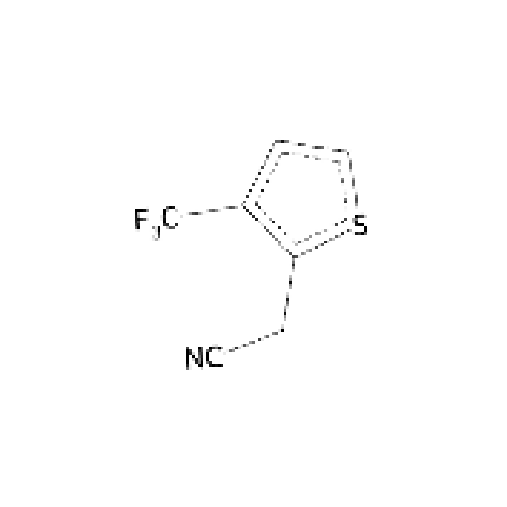 N#CCc1sccc1C(F)(F)F